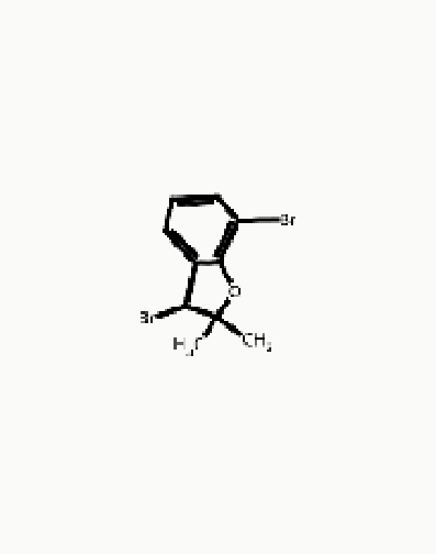 CC1(C)Oc2c(Br)cccc2C1Br